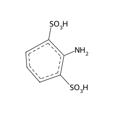 Nc1c(S(=O)(=O)O)cccc1S(=O)(=O)O